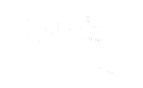 NS(=O)(=O)c1ccc(NN=C2C(=O)Nc3ccc(OC(=O)Oc4c(F)c(F)c(F)c(F)c4F)cc32)cc1